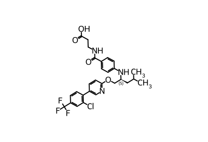 CC(C)C[C@@H](COc1ccc(-c2ccc(C(F)(F)F)cc2Cl)cn1)Nc1ccc(C(=O)NCCC(=O)O)cc1